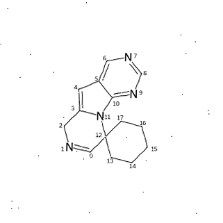 C1=NCc2cc3cncnc3n2C12CCCCC2